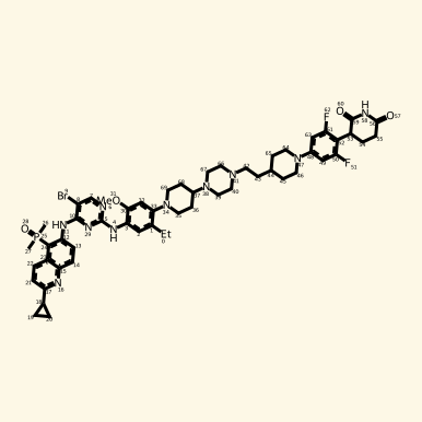 CCc1cc(Nc2ncc(Br)c(Nc3ccc4nc(C5CC5)ccc4c3P(C)(C)=O)n2)c(OC)cc1N1CCC(N2CCN(CCC3CCN(c4cc(F)c(C5CCC(=O)NC5=O)c(F)c4)CC3)CC2)CC1